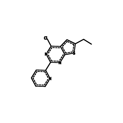 CCc1cc2c(Cl)nc(-c3ccccn3)nc2s1